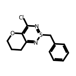 ClC1=C2OCCCC2=NS(Cc2ccccc2)=N1